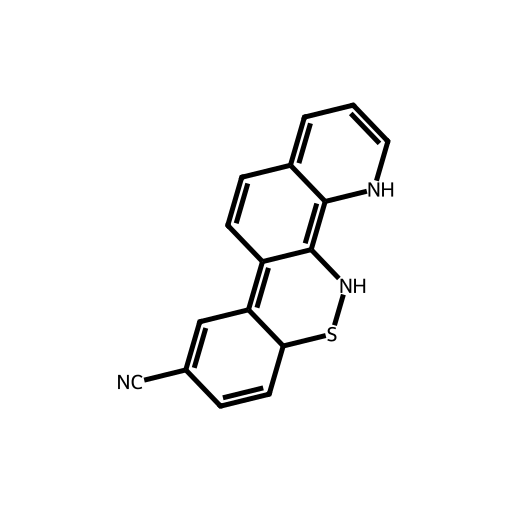 N#CC1=CC2=c3ccc4c(c3NSC2C=C1)NC=CC=4